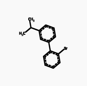 CC(C)c1cccc(-c2ccccc2Br)c1